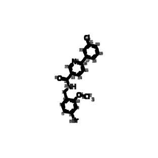 O=C(NCc1ccc(Br)cc1OC(F)(F)F)c1ccc(-c2cccc(Cl)c2)nc1